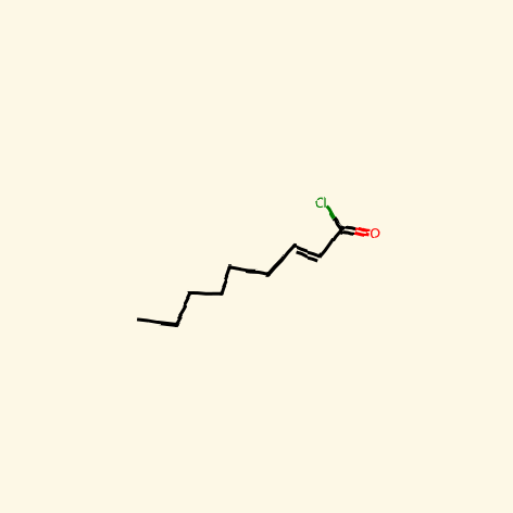 CCCCCC/C=C/C(=O)Cl